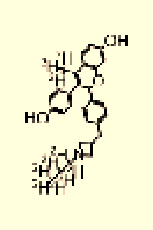 [2H]C([2H])([2H])C1=C(c2ccc(O)cc2)C(c2ccc(CC3CN(C([2H])([2H])C([2H])([2H])C([2H])([2H])[2H])C3)cc2)Oc2cc(O)ccc21